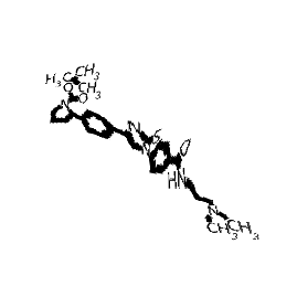 CCN(CC)CCCNC(=O)c1ccc2c(c1)sc1nc(-c3ccc(C4CCCN4C(=O)OC(C)(C)C)cc3)cn12